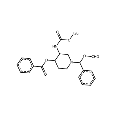 CC(C)(C)OC(=O)NC1CN(C(OC=O)c2ccccc2)CCC1OC(=O)c1ccccc1